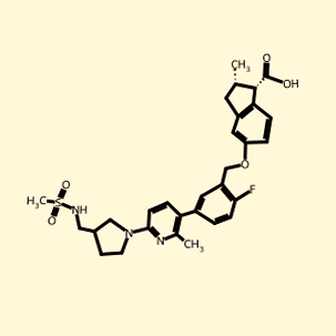 Cc1nc(N2CCC(CNS(C)(=O)=O)C2)ccc1-c1ccc(F)c(COc2ccc3c(c2)C[C@H](C)[C@@H]3C(=O)O)c1